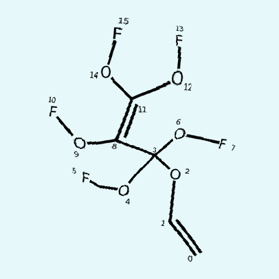 C=COC(OF)(OF)C(OF)=C(OF)OF